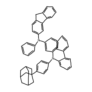 c1ccc(-c2ccccc2N(c2ccc(C34CC5CC(CC(C5)C3)C4)cc2)c2cccc(N(c3ccccc3)c3ccc4c(c3)-c3ccccc3C4)c2)cc1